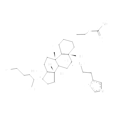 CC(C)CCCC(C)[C@H]1CC[C@H]2[C@@H]3C[C@@H](NCCc4c[nH]cn4)[C@@]4(O)C[C@@H](CCOC(N)=O)CC[C@]4(C)[C@H]3CC[C@]12C